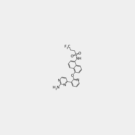 Nc1nccc(-c2cccnc2Oc2cccc3c(NS(=O)(=O)CCC(F)(F)F)cccc23)n1